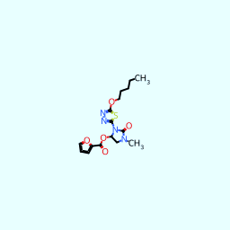 CCCCCOc1nnc(N2C(=O)N(C)CC2OC(=O)c2ccco2)s1